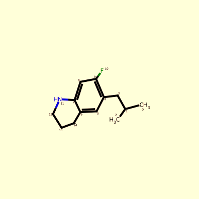 CC(C)Cc1cc2c(cc1F)NCC[CH]2